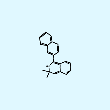 CC1(C)C=c2ccccc2=C(c2cnc3ccccc3c2)N1